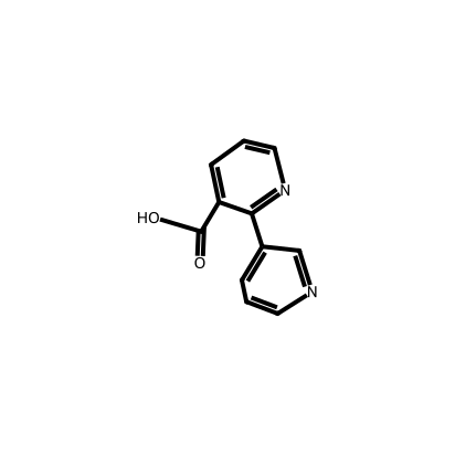 O=C(O)c1cccnc1-c1cccnc1